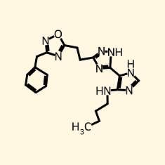 CCCCNc1nc[nH]c1-c1nc(CCc2nc(Cc3ccccc3)no2)n[nH]1